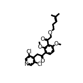 COc1ccc(C(=O)Cc2c(Cl)cncc2Cl)c(OC)c1C(=O)COCCC=C(C)C